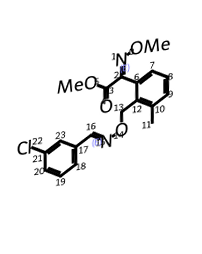 CO/N=C(/C(=O)OC)c1cccc(C)c1CO/N=C/c1cccc(Cl)c1